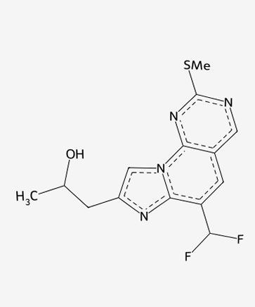 CSc1ncc2cc(C(F)F)c3nc(CC(C)O)cn3c2n1